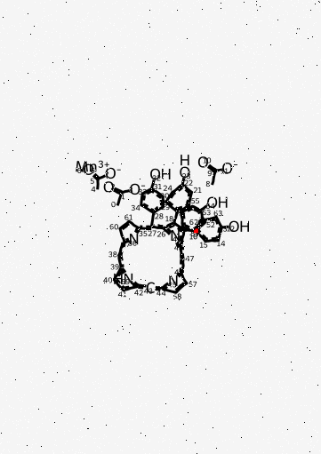 CC(=O)[O-].CC(=O)[O-].CC(=O)[O-].Oc1ccc(-c2c(-c3ccc(O)cc3)c3c(-c4ccc(O)cc4)c4nc(cc5ccc(cc6nc(cc2n3-c2ccc(O)cc2)C=C6)[nH]5)C=C4)cc1.[Mn+3]